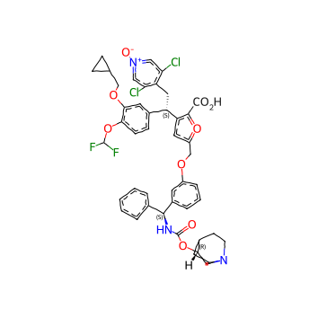 O=C(N[C@@H](c1ccccc1)c1cccc(OCc2cc([C@@H](Cc3c(Cl)c[n+]([O-])cc3Cl)c3ccc(OC(F)F)c(OCC4CC4)c3)c(C(=O)O)o2)c1)O[C@H]1CN2CCC1CC2